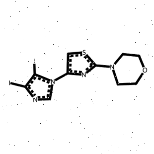 Ic1ncn(-c2csc(N3CCOCC3)n2)c1I